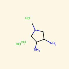 CN1CC(N)C(N)C1.Cl.Cl.Cl